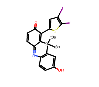 CC(C)(C)[Si]1(C(C)(C)C)C2=C(c3cc(I)c(I)s3)C(=O)C=CC2=Nc2ccc(O)cc21